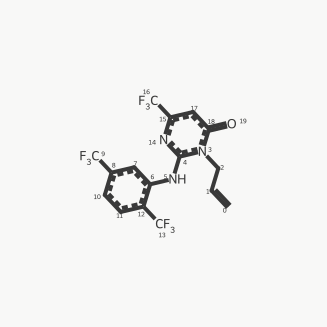 C=CCn1c(Nc2cc(C(F)(F)F)ccc2C(F)(F)F)nc(C(F)(F)F)cc1=O